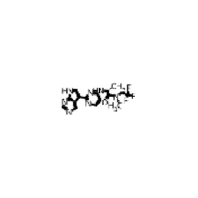 C[C@@H](Nc1ccnc(-c2c[nH]c3ncncc23)n1)C(=O)N(C)CC(F)(F)F